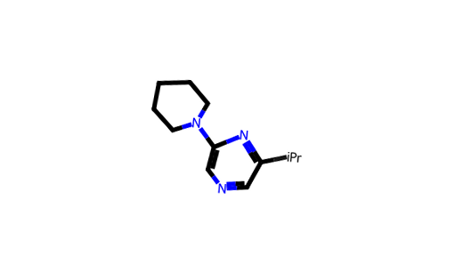 CC(C)c1cncc(N2CCCCC2)n1